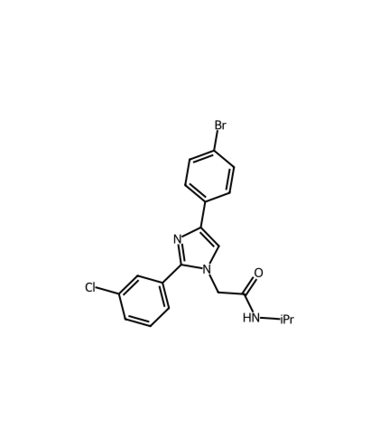 CC(C)NC(=O)Cn1cc(-c2ccc(Br)cc2)nc1-c1cccc(Cl)c1